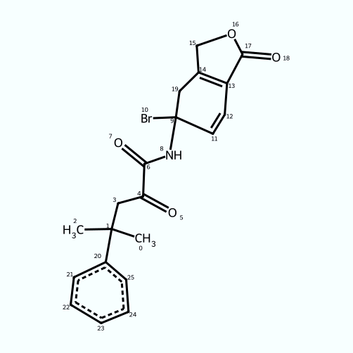 CC(C)(CC(=O)C(=O)NC1(Br)C=CC2=C(COC2=O)C1)c1ccccc1